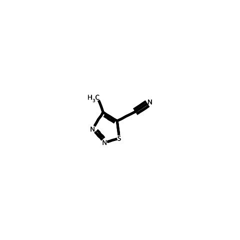 Cc1nnsc1C#N